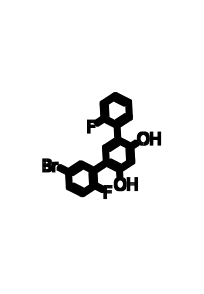 Oc1cc(O)c(-c2cc(Br)ccc2F)cc1-c1ccccc1F